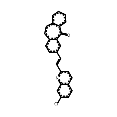 O=c1c2ccccc2ccc2ccc(C=Cc3ccc4ccc(Cl)cc4n3)cc12